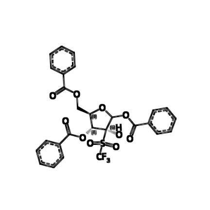 O=C(OC[C@H]1OC(OC(=O)c2ccccc2)[C@@](O)(S(=O)(=O)C(F)(F)F)[C@@H]1OC(=O)c1ccccc1)c1ccccc1